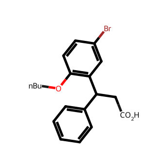 CCCCOc1ccc(Br)cc1C(CC(=O)O)c1ccccc1